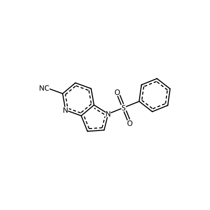 N#Cc1ccc2c(ccn2S(=O)(=O)c2ccccc2)n1